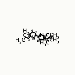 C=C(C)CC1=CCCC(c2ccc([C@H](C)C(C)(C)C)cc2)=N1